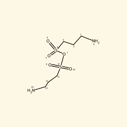 NCCCS(=O)(=O)OS(=O)(=O)CCCN